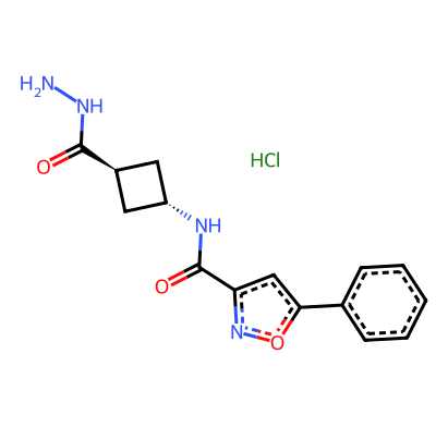 Cl.NNC(=O)[C@H]1C[C@H](NC(=O)c2cc(-c3ccccc3)on2)C1